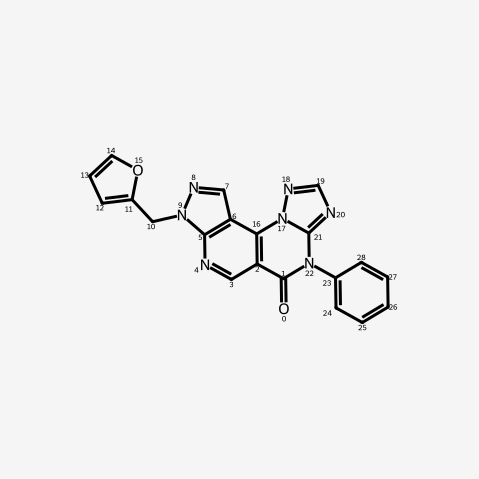 O=c1c2cnc3c(cnn3Cc3ccco3)c2n2ncnc2n1-c1ccccc1